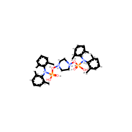 Cc1cccc(C)c1N(c1c(C)cccc1C)P(=O)(O)ON1CCN(OP(=O)(O)N(c2c(C)cccc2C)c2c(C)cccc2C)CC1